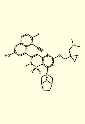 C#Cc1c(F)ccc2cc(O)cc(C3=Cc4nc(OCC5(CN(C)C)CC5)nc(N5CC6CCC(C5)N6)c4S(=O)(=O)N3C)c12